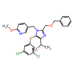 COc1ccc(Cn2c(COCc3ccccc3)nc(C(C)C)c2Sc2cc(Cl)cc(Cl)c2)cn1